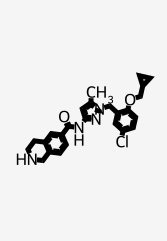 Cc1cc(NC(=O)c2ccc3c(c2)CCNC3)nn1Cc1cc(Cl)ccc1OCC1CC1